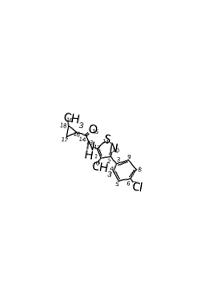 Cc1c(-c2ccc(Cl)cc2)nsc1NC(=O)C1CC1C